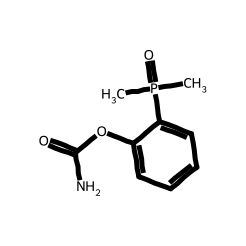 CP(C)(=O)c1ccccc1OC(N)=O